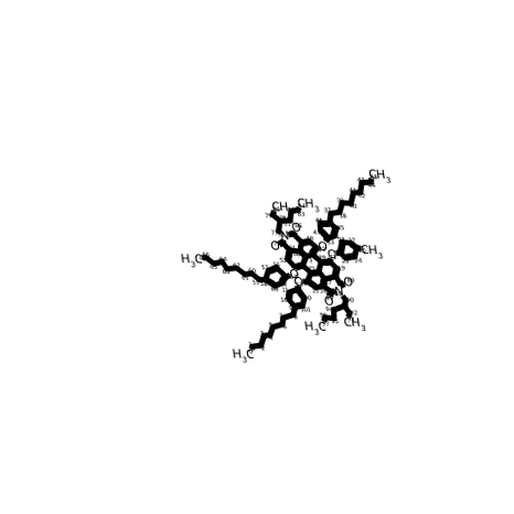 CCCCCCCCCc1ccc(Oc2cc3c4c(cc(Oc5ccc(C)cc5)c5c6c(Oc7ccc(CCCCCCCCC)cc7)cc7c8c(cc(Oc9ccc(CCCCCCCCC)cc9)c(c2c45)c86)C(=O)N(CC(CC)CCCC)C7=O)C(=O)N(CC(CC)CCCC)C3=O)cc1